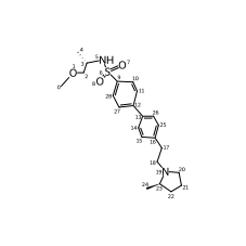 COC[C@H](C)NS(=O)(=O)c1ccc(-c2ccc(CCN3CCC[C@H]3C)cc2)cc1